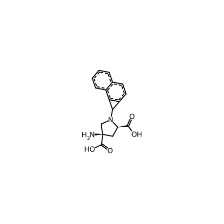 N[C@]1(C(=O)O)C[C@H](C(=O)O)N(C2c3ccc4ccccc4c32)C1